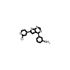 Nc1cccc(-c2ncnc3sc(-c4ccnc(Cl)c4)cc23)c1